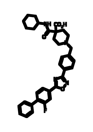 O=C(O)C1(C(=O)NC2CCCCC2)CCN(Cc2ccc(-c3noc(-c4ccc(-c5ccccc5)c(F)c4)n3)cc2)CC1